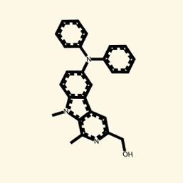 Cc1nc(CO)cc2c3cc(N(c4ccccc4)c4ccccc4)ccc3n(C)c12